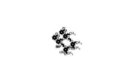 CCCc1c(OCCCOc2cc(O)c(C(C)=O)cc2CC)cccc1Oc1ccccc1C(=O)[O-].CCCc1c(OCCCOc2cc(O)c(C(C)=O)cc2CC)cccc1Oc1ccccc1C(=O)[O-].[Na+].[Na+]